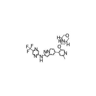 Cc1cc(-c2ccn3nc(Nc4cnc(C(F)(F)F)cn4)cc3c2)c(OC2C[C@H]3COC[C@@H](C2)N3)cn1